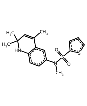 CC1=CC(C)(C)Nc2ccc(N(C)S(=O)(=O)c3cccs3)cc21